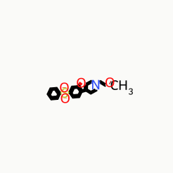 COCCN1CCc2c(oc3cc(S(=O)(=O)c4ccccc4)ccc23)C1